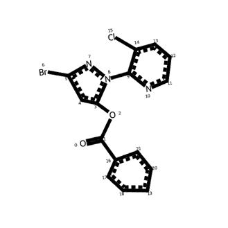 O=C(Oc1cc(Br)nn1-c1ncccc1Cl)c1ccccc1